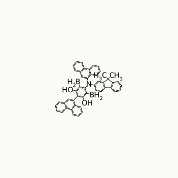 Bc1c(O)c(-c2cc3ccccc3c3ccccc23)c(O)c(B)c1N(c1ccc2c(c1)C(C)(C)c1ccccc1-2)c1cc2ccccc2c2ccccc12